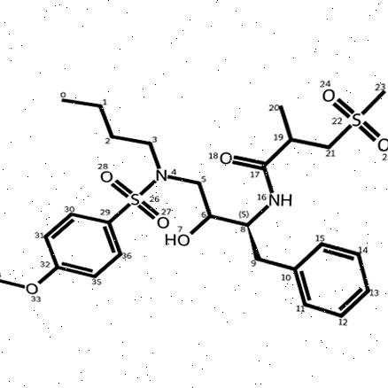 CCCCN(CC(O)[C@H](Cc1ccccc1)NC(=O)C(C)CS(C)(=O)=O)S(=O)(=O)c1ccc(OC)cc1